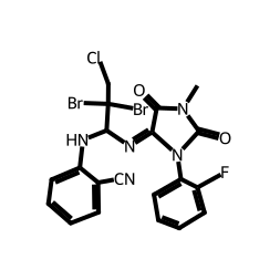 CN1C(=O)C(=NC(Nc2ccccc2C#N)C(Br)(Br)CCl)N(c2ccccc2F)C1=O